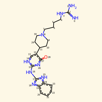 N=C(N)NCCCCN1CCC(c2c[nH]c(Nc3nc4ccccc4[nH]3)nc2=O)CC1